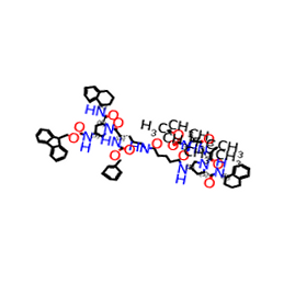 C[C@@H](C(=O)N[C@H](C(=O)N1C[C@@H](NC(=O)CCCC(=O)NCCC[C@H](NC(=O)OCc2ccccc2)C(=O)N2C[C@@H](NC(=O)OCC3c4ccccc4-c4ccccc43)C[C@H]2C(=O)N[C@@H]2CCCc3ccccc32)C[C@H]1C(=O)N[C@@H]1CCCc2ccccc21)C(C)(C)C)N(C)C(=O)OC(C)(C)C